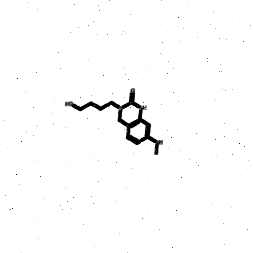 CNc1ccc2c(c1)NC(=O)N(CCCCO)C2